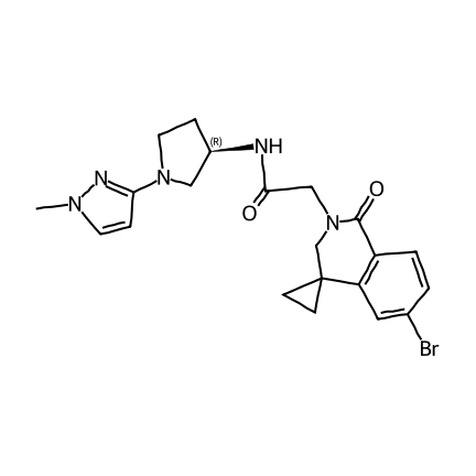 Cn1ccc(N2CC[C@@H](NC(=O)CN3CC4(CC4)c4cc(Br)ccc4C3=O)C2)n1